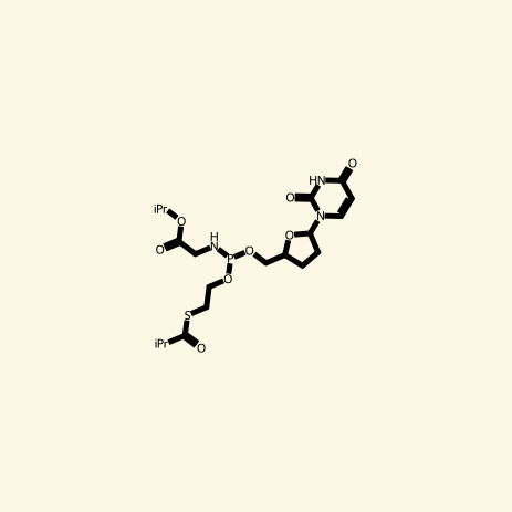 CC(C)OC(=O)CNP(OCCSC(=O)C(C)C)OCC1CCC(n2ccc(=O)[nH]c2=O)O1